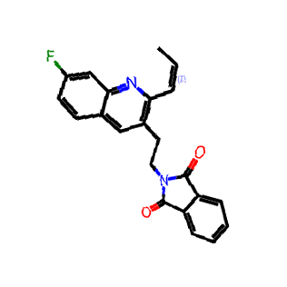 C/C=C\c1nc2cc(F)ccc2cc1CCN1C(=O)c2ccccc2C1=O